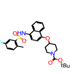 Cc1ccc(F)cc1S(=O)(=O)Nc1ccc(OC2CCN(C(=O)OC(C)(C)C)CC2)c2ccccc12